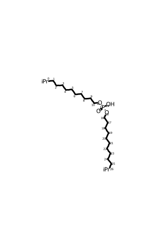 CC(C)CCCCCCCCCCOP(=O)(O)OCCCCCCCCCCC(C)C